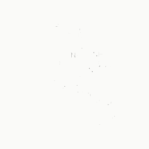 O=C(CN1C(=O)NC(=O)N(C2CCCCCC2)c2ccccc21)C1CCCC1